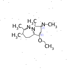 CCO/C(=C/C(CC)=N\C)C1=NN=C(C)C(C)CC1